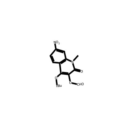 CCCCOc1c(OC=O)c(=O)n(C)c2cc([N+](=O)[O-])ccc12